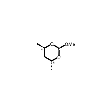 COP1O[C@H](C)C[C@@H](C)O1